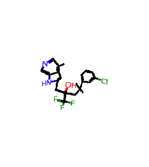 Cc1cncc2[nH]c(CC(O)(CC(C)(C)c3cccc(Cl)c3)C(F)(F)F)cc12